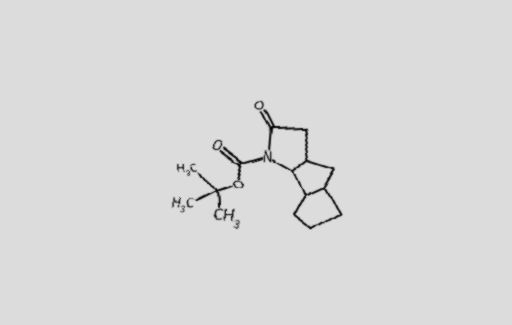 CC(C)(C)OC(=O)N1C(=O)CC2CC3CCCC3C21